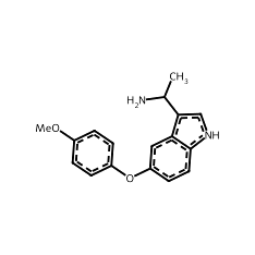 COc1ccc(Oc2ccc3[nH]cc(C(C)N)c3c2)cc1